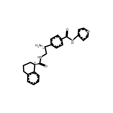 N[C@@H](CNC(=O)[C@@H]1CCCc2ccccc21)c1ccc(C(=O)Nc2ccncc2)cc1